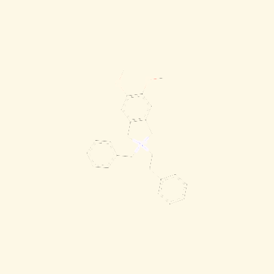 COc1cc2c(cc1OC)C[N+](CCc1ccccc1)(Cc1ccccc1)C2